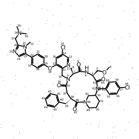 COC[C@@H]1NC(=O)[C@H](C)N(Cc2ncc(Cl)cc2Oc2ccc(-c3cnc(CN(C)C)n3C)cc2)C(=O)C[C@@H](Cc2ccccc2)C(=O)N2CCC[C@@](Cc3ccc(Cl)cc3)(C2)NC1=O